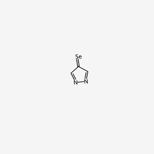 [Se]=C1C=NN=C1